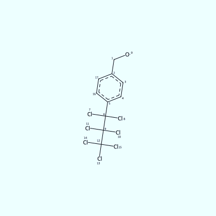 [O]Cc1ccc(C(Cl)(Cl)C(Cl)(Cl)C(Cl)(Cl)Cl)cc1